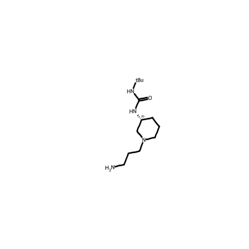 CC(C)(C)NC(=O)N[C@@H]1CCCN(CCCN)C1